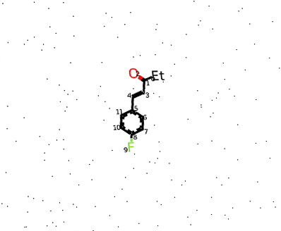 CCC(=O)C=Cc1ccc(F)cc1